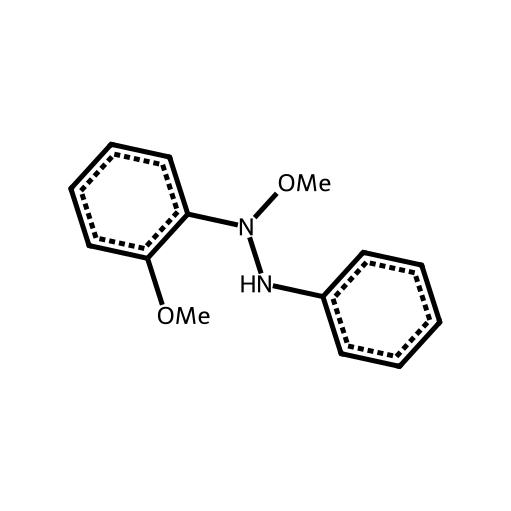 COc1ccccc1N(Nc1ccccc1)OC